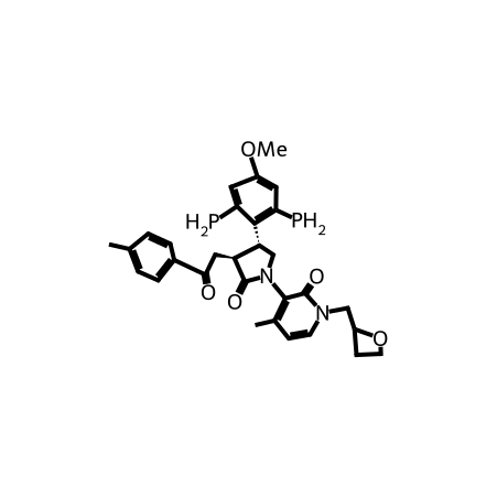 COc1cc(P)c([C@@H]2CN(c3c(C)ccn(CC4CCO4)c3=O)C(=O)[C@H]2CC(=O)c2ccc(C)cc2)c(P)c1